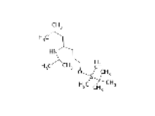 CC(C)C[C@@H](CCCO[Si](C)(C)C(C)(C)C)NC(C)C